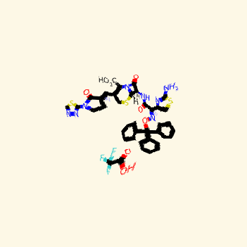 Nc1nc(/C(=N/OC(c2ccccc2)(c2ccccc2)c2ccccc2)C(=O)N[C@@H]2C(=O)N3C(C(=O)O)=C(/C=C4\CCN(c5nncs5)C4=O)CS[C@H]23)cs1.O=C(O)C(F)(F)F